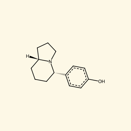 Oc1ccc([C@@H]2CCC[C@@H]3CCCN32)cc1